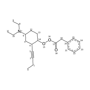 CCC#CC1CC(N(CC)CC)CCC1OOC(=O)Cc1ccccc1